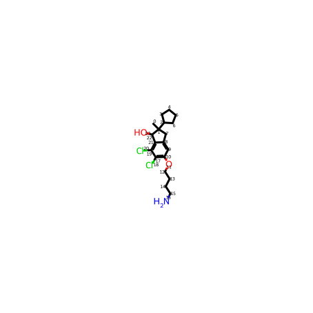 CC1(C2CCCC2)Cc2cc(OCCCCN)c(Cl)c(Cl)c2C1O